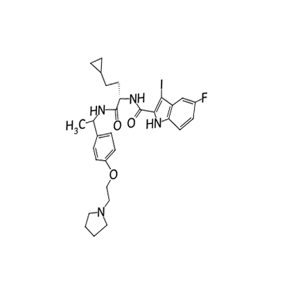 CC(NC(=O)[C@H](CCC1CC1)NC(=O)c1[nH]c2ccc(F)cc2c1I)c1ccc(OCCN2CCCC2)cc1